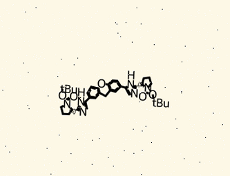 CC(C)(C)OC(=O)N1CCC[C@H]1c1ncc(-c2ccc3c(c2)Cc2cc(-c4cnc([C@@H]5CCCN5C(=O)OC(C)(C)C)[nH]4)ccc2O3)[nH]1